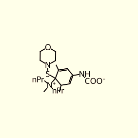 CCC[N+](C)(CCC)C1(SN2CCOCC2)C(C)=CC(NC(=O)[O-])=CC1C